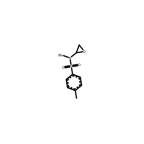 Cc1ccc(S(=O)(=O)N(C2CO2)C(C)(C)C)cc1